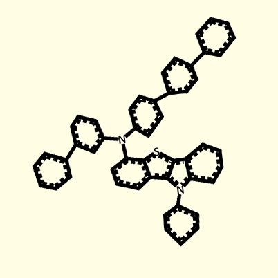 c1ccc(-c2ccc(-c3ccc(N(c4cccc(-c5ccccc5)c4)c4cccc5c4sc4c6ccccc6n(-c6ccccc6)c54)cc3)cc2)cc1